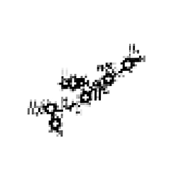 CC1(C)CCC(CNCCNc2ccc(C(=O)NS(=O)(=O)c3ccc(OCC4CCC(C)(C#N)CC4)c([N+](=O)[O-])c3)c(-n3ncc4nc5[nH]ccc5cc43)c2)=C(c2ccc(Cl)cc2)C1